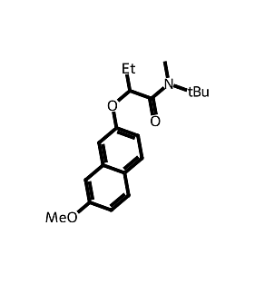 CCC(Oc1ccc2ccc(OC)cc2c1)C(=O)N(C)C(C)(C)C